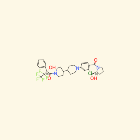 O=C(c1ccc(N2CCC(C3CCN(C(=O)[C@](O)(c4ccccc4)C(F)(F)C(F)(F)F)CC3)CC2)cc1Cl)N1CCC[C@H]1CO